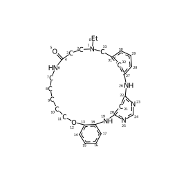 CCN1CCC(=O)NCCCCCOc2ccccc2Nc2cc(ncn2)Nc2cccc(c2)C1